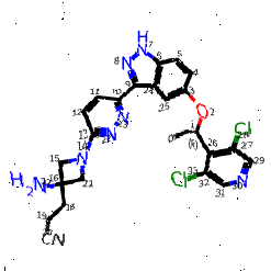 C[C@@H](Oc1ccc2[nH]nc(-c3ccc(N4CC(N)(CCC#N)C4)nn3)c2c1)c1c(Cl)cncc1Cl